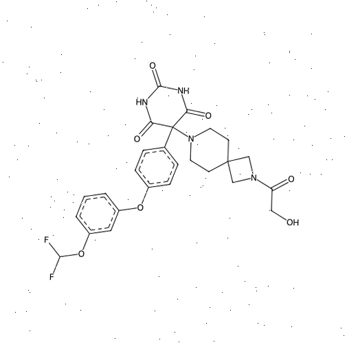 O=C1NC(=O)C(c2ccc(Oc3cccc(OC(F)F)c3)cc2)(N2CCC3(CC2)CN(C(=O)CO)C3)C(=O)N1